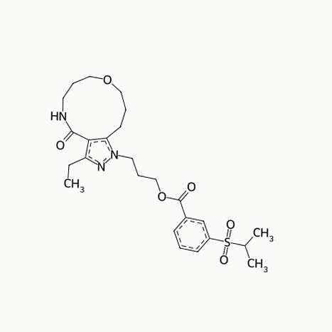 CCc1nn(CCCOC(=O)c2cccc(S(=O)(=O)C(C)C)c2)c2c1C(=O)NCCCOCCC2